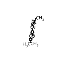 CCC[C@H](F)[C@@H](F)Oc1cnc(-c2ccc(C(=O)Oc3ccc(C(C)C)cc3)cc2)nc1